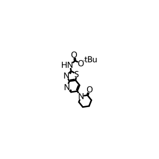 CC(C)(C)OC(=O)Nc1nc2ncc(N3CCCCC3=O)cc2s1